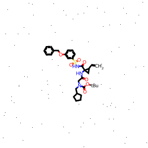 C=CC1CC1(NC(=O)CN(CC1CCCC1)C(=O)OC(C)(C)C)C(=O)NS(=O)(=O)c1cccc(OCc2ccccc2)c1